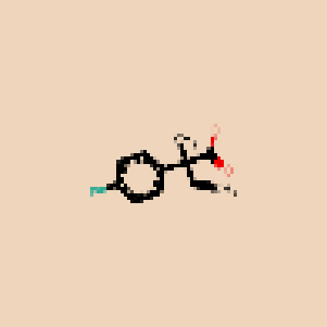 C=CC(C)(C(=O)O)c1ccc(F)cc1